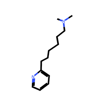 CN(C)CCCCCCc1ccccn1